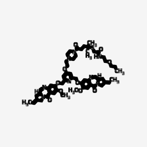 C/C=C1\C[C@H]2C=Nc3cc(OCc4cc(OCCN5CCN(C(=O)CCC(C)(C)SCC(=O)NCCOCCC)CC5)cc(COc5cc6c(cc5OC)C(=O)N5C/C(=C/C)C[C@H]5C=N6)n4)c(OC)cc3C(=O)N2C1